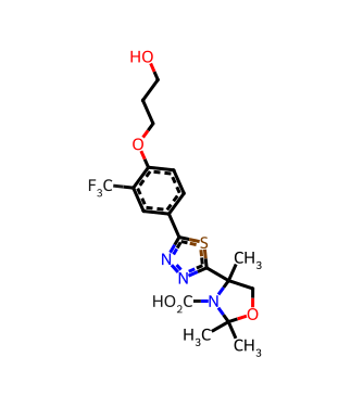 CC1(C)OCC(C)(c2nnc(-c3ccc(OCCCO)c(C(F)(F)F)c3)s2)N1C(=O)O